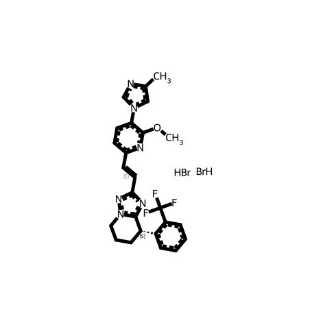 Br.Br.COc1nc(/C=C/c2nc3n(n2)CCC[C@H]3c2ccccc2C(F)(F)F)ccc1-n1cnc(C)c1